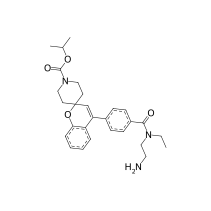 CCN(CCN)C(=O)c1ccc(C2=CC3(CCN(C(=O)OC(C)C)CC3)Oc3ccccc32)cc1